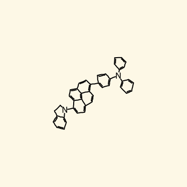 c1ccc(N(c2ccccc2)c2ccc(-c3ccc4ccc5c(N6CCc7ccccc76)ccc6ccc3c4c65)cc2)cc1